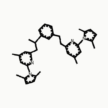 Cc1cc(CCc2cccc(C(C)Cc3cc(C)cc(-n4c(C)ccc4C)n3)c2)nc(-n2c(C)ccc2C)c1